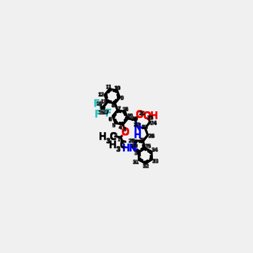 CC(C)Oc1ccc(-c2ccccc2C(F)(F)F)cc1C(=O)N[C@@H](CO)Cc1c[nH]c2ccccc12